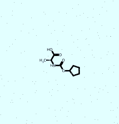 C[C@H](NC(=O)OC1CCCC1)C(=O)O